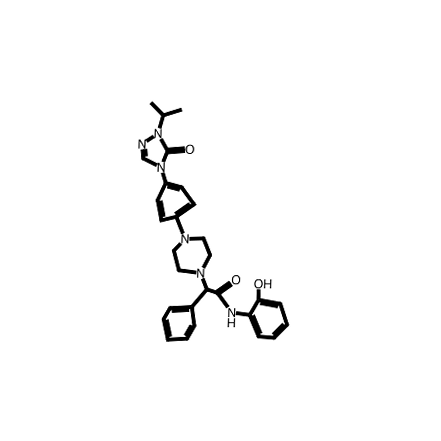 CC(C)n1ncn(-c2ccc(N3CCN(C(C(=O)Nc4ccccc4O)c4ccccc4)CC3)cc2)c1=O